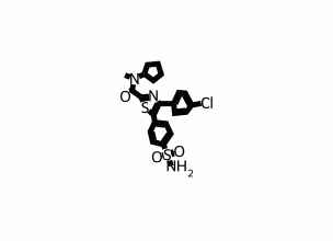 CN(C(=O)c1nc(-c2ccc(Cl)cc2)c(-c2ccc(S(N)(=O)=O)cc2)s1)C1CCCC1